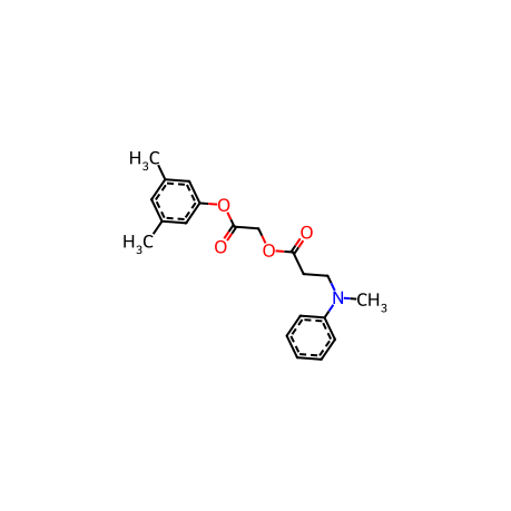 Cc1cc(C)cc(OC(=O)COC(=O)CCN(C)c2ccccc2)c1